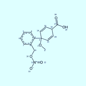 COC1(c2ccccc2CO[N+](=O)[O-])C=CC(C(=O)O)C=C1